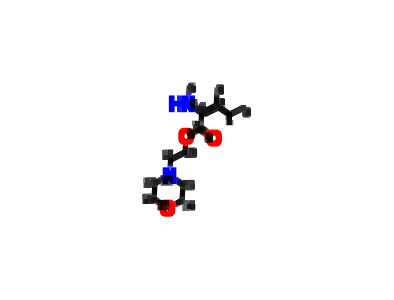 CC/C(C)=C(/NC)C(=O)OCCN1CCOCC1